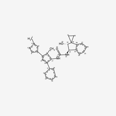 Cc1c(-c2cnn(C)c2)nn(-c2ccccc2)c1NC(=O)N[C@@H]1c2ccccc2C2(CC2)[C@H]1O